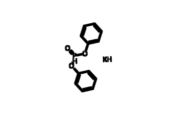 O=[PH](Oc1ccccc1)Oc1ccccc1.[KH]